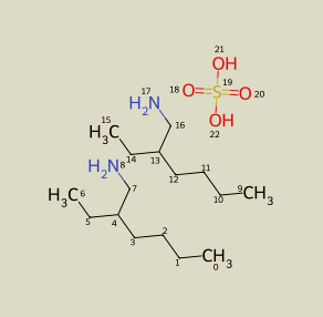 CCCCC(CC)CN.CCCCC(CC)CN.O=S(=O)(O)O